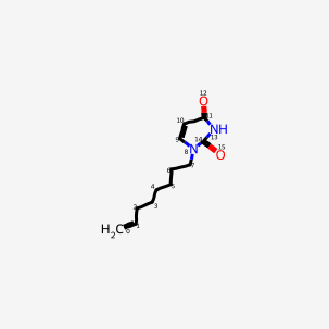 C=CCCCCCCn1ccc(=O)[nH]c1=O